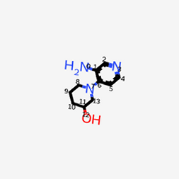 Nc1cnccc1N1CCCC(O)C1